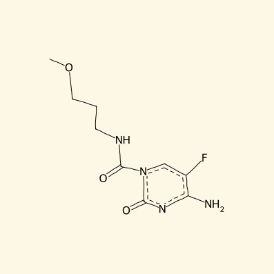 COCCCNC(=O)n1cc(F)c(N)nc1=O